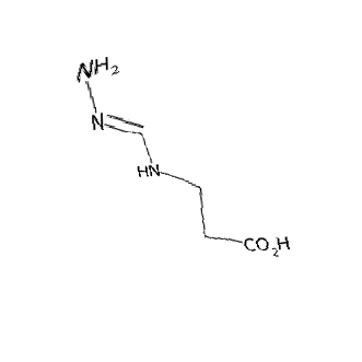 NN=CNCCC(=O)O